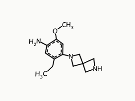 CCc1cc(N)c(OC)cc1N1CC2(CNC2)C1